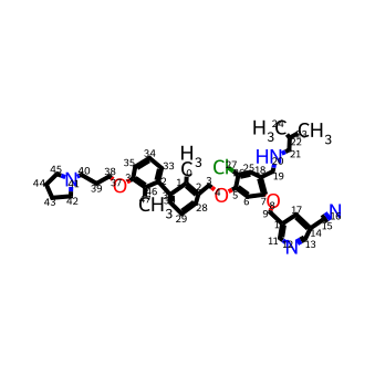 Cc1c(COc2cc(OCc3cncc(C#N)c3)c(CNCC(C)C)cc2Cl)cccc1-c1cccc(OCCCN2CCCC2)c1C